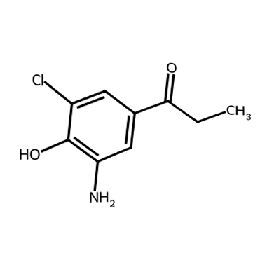 CCC(=O)c1cc(N)c(O)c(Cl)c1